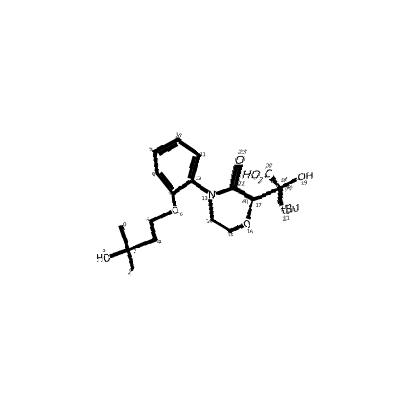 CC(C)(O)CCOc1ccccc1N1CCO[C@H]([C@@](O)(C(=O)O)C(C)(C)C)C1=O